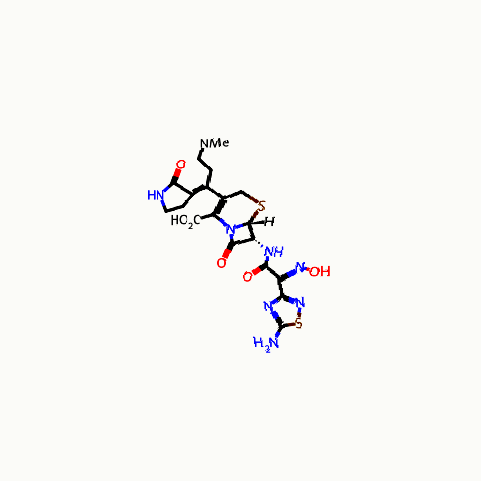 CNCCC(=C1CCNC1=O)C1=C(C(=O)O)N2C(=O)[C@@H](NC(=O)C(=NO)c3nsc(N)n3)[C@H]2SC1